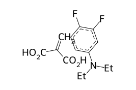 C=C(C(=O)O)C(=O)O.CCN(CC)c1ccc(F)c(F)c1